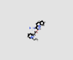 C[n+]1ccccc1CCOc1nn2c3c(ccc2c1N)CCC3